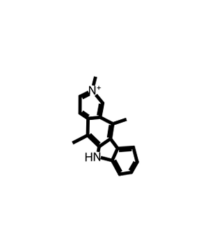 Cc1c2cc[n+](C)cc2c(C)c2c1[nH]c1ccccc12